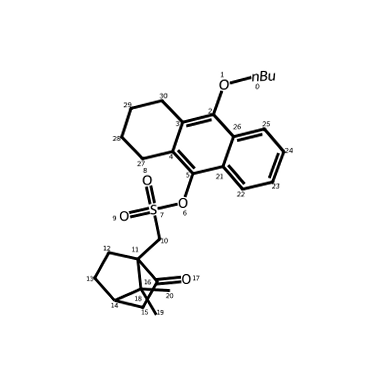 CCCCOc1c2c(c(OS(=O)(=O)CC34CCC(CC3=O)C4(C)C)c3ccccc13)CCCC2